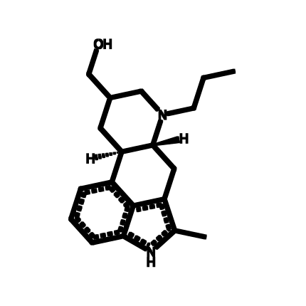 CCCN1CC(CO)C[C@@H]2c3cccc4[nH]c(C)c(c34)C[C@H]21